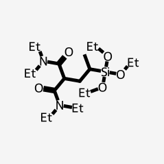 CCO[Si](OCC)(OCC)C(C)CC(C(=O)N(CC)CC)C(=O)N(CC)CC